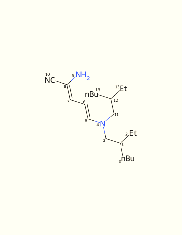 CCCCC(CC)CN(C=C/C=C(\N)C#N)CC(CC)CCCC